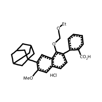 CCOCOc1c(-c2ccccc2C(=O)O)ccc2cc(OC)c(C34CC5CC(CC(C5)C3)C4)cc12.Cl